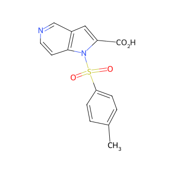 Cc1ccc(S(=O)(=O)n2c(C(=O)O)cc3cnccc32)cc1